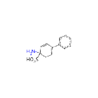 NC1(S(=O)(=O)O)C=CC(c2ccccc2)=CC1